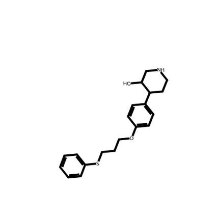 OC1CNCCC1c1ccc(OCCCSc2ccccc2)cc1